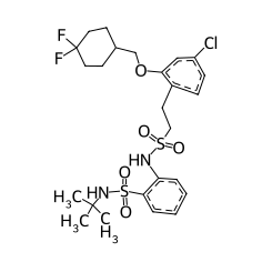 CC(C)(C)NS(=O)(=O)c1ccccc1NS(=O)(=O)CCc1ccc(Cl)cc1OCC1CCC(F)(F)CC1